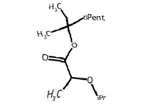 CCCCCC(C)(C)OC(=O)C(C)OC(C)C